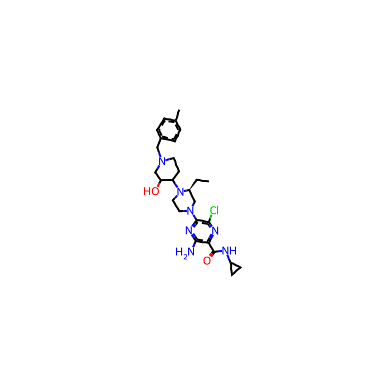 CC[C@H]1CN(c2nc(N)c(C(=O)NC3CC3)nc2Cl)CCN1C1CCN(Cc2ccc(C)cc2)CC1O